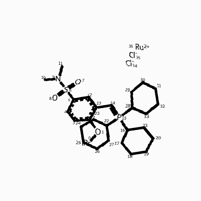 CC(C)Oc1ccc(S(=O)(=O)N(C)C)cc1C=P(C1CCCCC1)(C1CCCCC1)C1CCCCC1.[Cl-].[Cl-].[Ru+2]